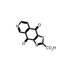 O=C(O)c1nc2c(s1)C(=O)c1ccncc1C2=O